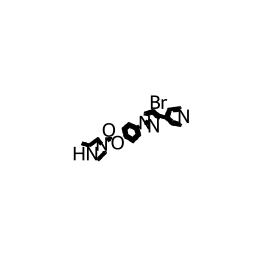 CC1CN(C(=O)Oc2ccc(-n3cc(Br)c(-c4ccncc4)n3)cc2)CCN1